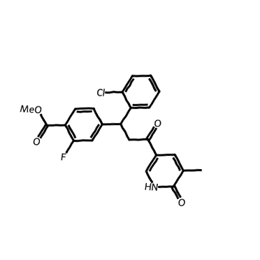 COC(=O)c1ccc(C(CC(=O)c2c[nH]c(=O)c(C)c2)c2ccccc2Cl)cc1F